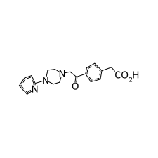 O=C(O)Cc1ccc(C(=O)CN2CCN(c3ccccn3)CC2)cc1